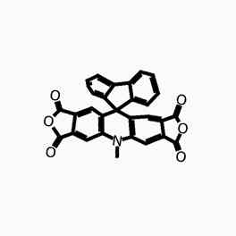 CN1c2cc3c(cc2C2(c4ccccc4-c4ccccc42)c2cc4c(cc21)C(=O)OC4=O)C(=O)OC3=O